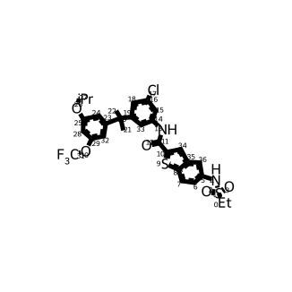 CCS(=O)(=O)Nc1ccc2sc(C(=O)Nc3cc(Cl)cc(C(C)(C)c4cc(OC(C)C)cc(OC(F)(F)F)c4)c3)cc2c1